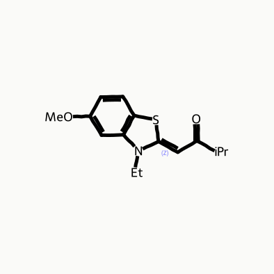 CCN1/C(=C/C(=O)C(C)C)Sc2ccc(OC)cc21